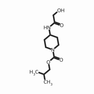 CC(C)COC(=O)N1CCC(NC(=O)CO)CC1